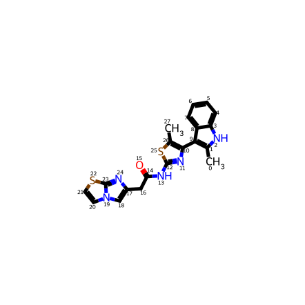 Cc1[nH]c2ccccc2c1-c1nc(NC(=O)Cc2cn3ccsc3n2)sc1C